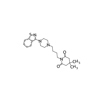 CC1(C)CC(=O)N(CCCCN2CCN(c3nsc4ccccc34)CC2)C(=O)C1